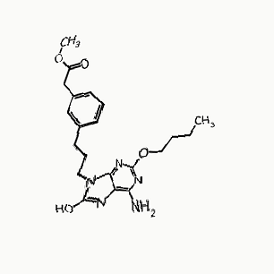 CCCCOc1nc(N)c2nc(O)n(CCCc3cccc(CC(=O)OC)c3)c2n1